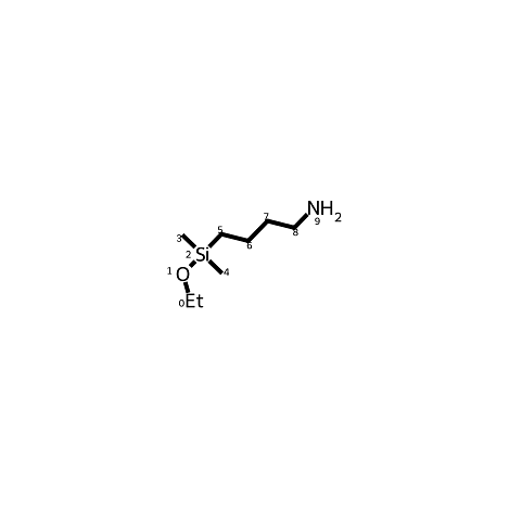 CCO[Si](C)(C)CCCCN